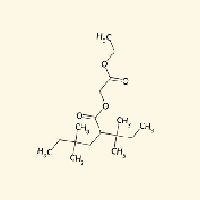 CCOC(=O)COC(=O)C(CC(C)(C)CC)C(C)(C)CC